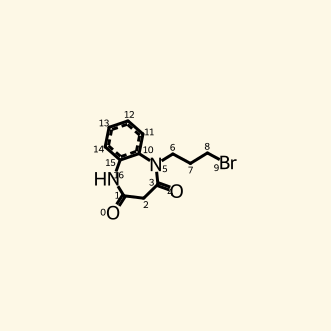 O=C1CC(=O)N(CCCBr)c2ccccc2N1